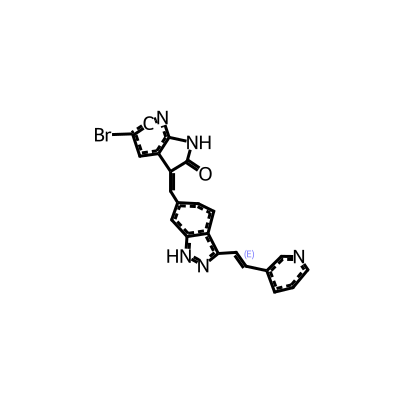 O=C1Nc2ncc(Br)cc2C1=Cc1ccc2c(/C=C/c3cccnc3)n[nH]c2c1